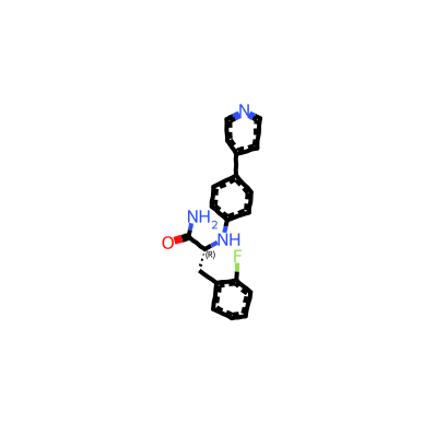 NC(=O)[C@@H](Cc1ccccc1F)Nc1ccc(-c2ccncc2)cc1